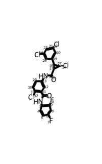 O=C(Nc1ccc(F)cc1F)c1cc(NC(=O)C2C(c3cc(Cl)cc(Cl)c3)[C@H]2Cl)ccc1Cl